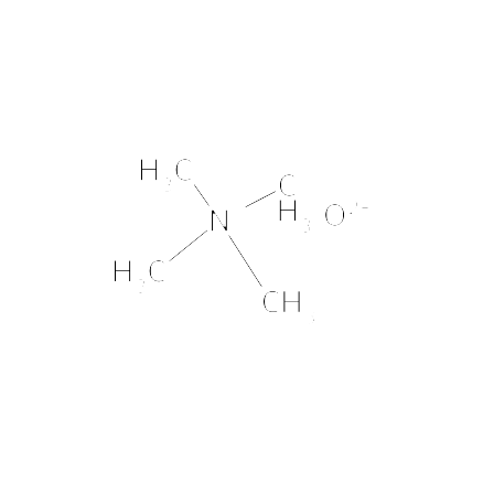 C[N+](C)(C)C.[O-2]